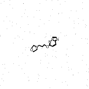 c1cn2nc(OCCCN3CCOCC3)ccc2n1